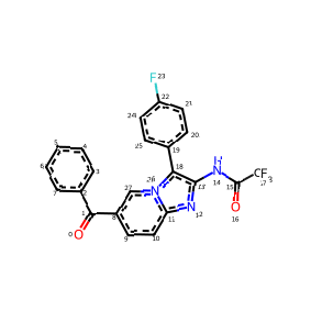 O=C(c1ccccc1)c1ccc2nc(NC(=O)C(F)(F)F)c(-c3ccc(F)cc3)n2c1